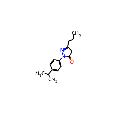 CCCC1=NN(c2ccc(C(C)C)cc2)C(=O)C1